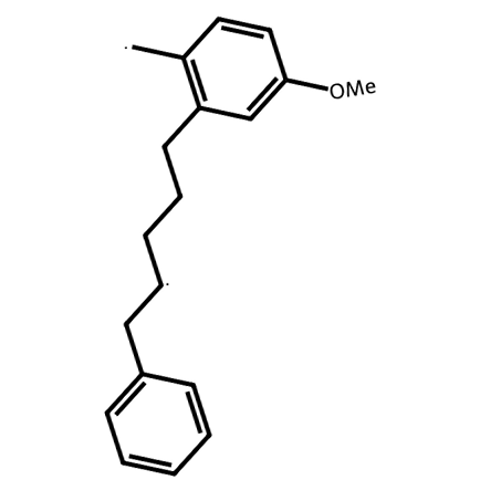 [CH2]c1ccc(OC)cc1CCC[CH]Cc1ccccc1